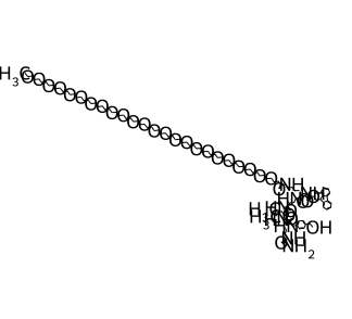 COCCOCCOCCOCCOCCOCCOCCOCCOCCOCCOCCOCCOCCOCCOCCOCCOCCOCCOCCOCCOCCOCCOCCOCCC(=O)NCCCC[C@H](NC(=O)OCC1c2ccccc2-c2ccccc21)C(=O)NCCC(=O)N[C@H](C(=O)N[C@@H](CCCNC(N)=O)C(=O)Nc1ccc(CO)cc1)C(C)C